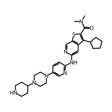 CN(C)C(=O)c1sc2cnc(Nc3ccc(N4CCN(C5CCNCC5)CC4)cn3)cc2c1C1CCCC1